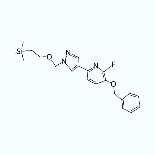 C[Si](C)(C)CCOCn1cc(-c2ccc(OCc3ccccc3)c(F)n2)cn1